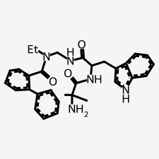 CCN(CNC(=O)C(Cc1c[nH]c2ccccc12)NC(=O)C(C)(C)N)C(=O)c1ccccc1-c1ccccc1